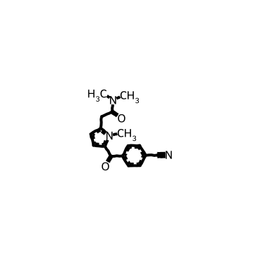 CN(C)C(=O)Cc1ccc(C(=O)c2ccc(C#N)cc2)n1C